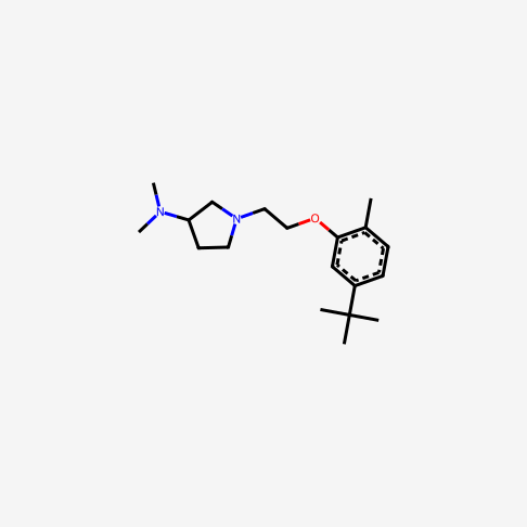 Cc1ccc(C(C)(C)C)cc1OCCN1CCC(N(C)C)C1